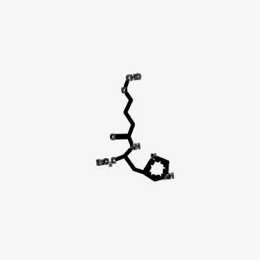 CCOC(=O)C(Cc1c[nH]cn1)NC(=O)CCCOC=O